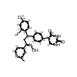 Cc1cc(C(CC(c2ccc(-c3c[nH]c(=O)[nH]c3=O)cc2)c2ccc(Cl)cc2F)=NO)ccn1